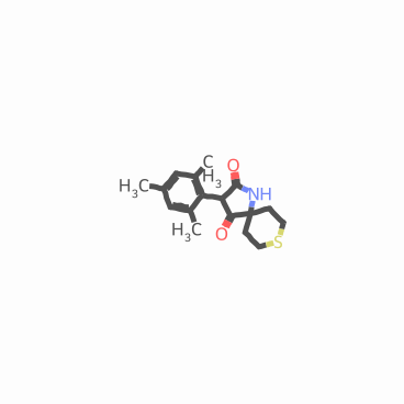 Cc1cc(C)c(C2C(=O)NC3(CCSCC3)C2=O)c(C)c1